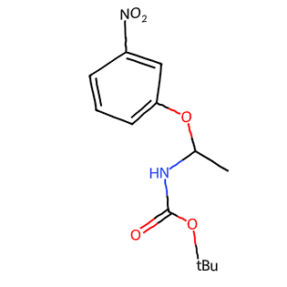 CC(NC(=O)OC(C)(C)C)Oc1cccc([N+](=O)[O-])c1